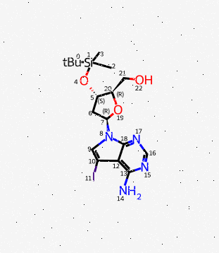 CC(C)(C)[Si](C)(C)O[C@H]1C[C@H](n2cc(I)c3c(N)ncnc32)O[C@@H]1CO